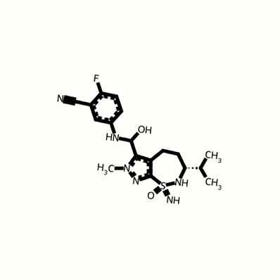 CC(C)[C@H]1CCc2c(nn(C)c2C(O)Nc2ccc(F)c(C#N)c2)S(=N)(=O)N1